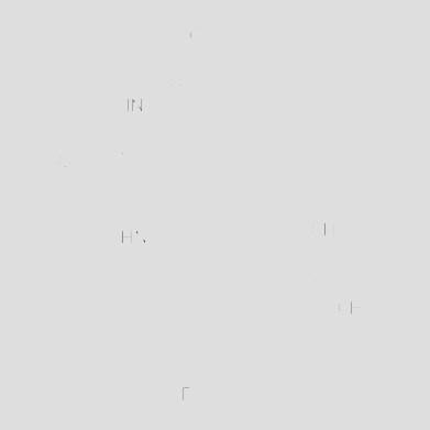 CC(C)c1cc(F)cc(NC2CCC(=O)NC2=O)c1